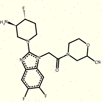 N#CC1CN(C(=O)Cn2c(N3CC[C@@H](F)[C@H](N)C3)nc3cc(F)c(F)cc32)CCO1